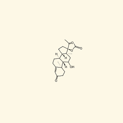 CC(=O)O[C@]1(C(C)=O)CC[C@H]2[C@@H]3CCC4=CC(=O)CC[C@]4(C)[C@H]3C(O)C[C@@]21C